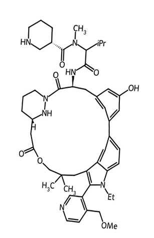 CCn1c(-c2cnccc2COC)c2c3cc(ccc31)-c1cc(O)cc(c1)C[C@H](NC(=O)C(C(C)C)N(C)C(=O)[C@H]1CCCNC1)C(=O)N1CCC[C@@H](CC(=O)OCC(C)(C)C2)N1